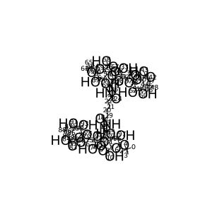 CC(C)(C)O[C@H]1OC(C(=O)O)[C@H](OC(/C=N/NC(=O)CCCCC(=O)N/N=C/C(OC(C(=O)O)C(C=O)O[C@@H]2OC(C(=O)O)[C@@H](C(C)(C)C)C(O)[C@@H]2O)O[C@@H]2C(C(=O)O)O[C@@H](OC(C)(C)C)[C@@H](O)C2O)OC(C(=O)O)C(C=O)O[C@H]2OC(C(=O)O)[C@H](C(C)(C)C)C(O)[C@H]2O)C(O)[C@H]1O